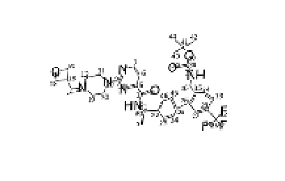 C[C@@H](NC(=O)c1ccnc(N2CCN(CC3COC3)CC2)n1)c1ccc(-c2cc(C(F)(F)F)ccc2CNC(=O)OC(C)(C)C)cc1